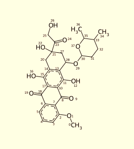 COc1cccc2c1C(=O)c1c(O)c3c(c(O)c1C2=O)CC(O)(C(=O)CO)CC3OC1CCC(C)C(C)O1